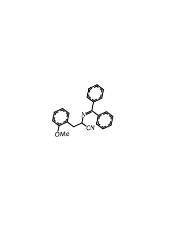 COc1ccccc1CC(C#N)N=C(c1ccccc1)c1ccccc1